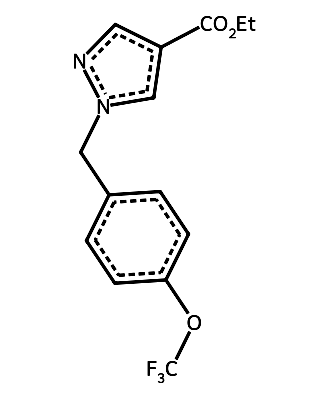 CCOC(=O)c1cnn(Cc2ccc(OC(F)(F)F)cc2)c1